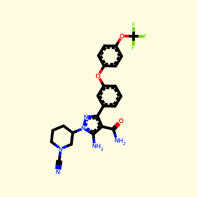 N#CN1CCCC(n2nc(-c3cccc(Oc4ccc(OC(F)(F)F)cc4)c3)c(C(N)=O)c2N)C1